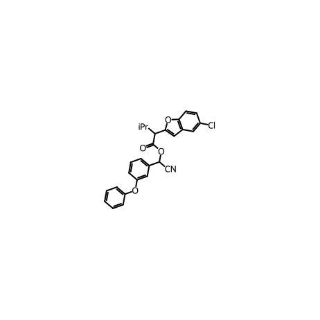 CC(C)C(C(=O)OC(C#N)c1cccc(Oc2ccccc2)c1)c1cc2cc(Cl)ccc2o1